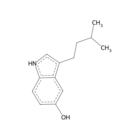 CC(C)CCc1c[nH]c2ccc(O)cc12